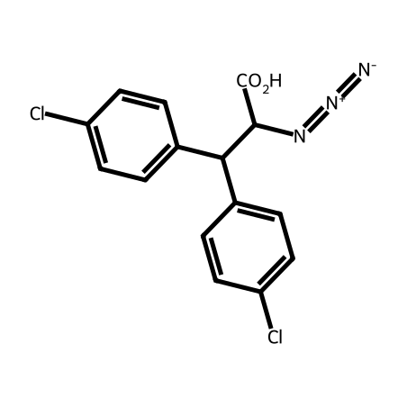 [N-]=[N+]=NC(C(=O)O)C(c1ccc(Cl)cc1)c1ccc(Cl)cc1